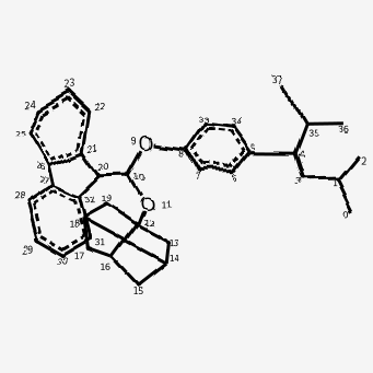 CC(C)CC(c1ccc(OC(OC23CC4CC2CC4C3)C2c3ccccc3-c3ccccc32)cc1)C(C)C